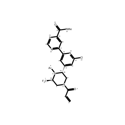 C=CC(=O)N1C[C@@H](C(F)(F)F)N(C(C)=O)[C@H](c2cc(Cl)nc(-c3cc(C(=O)NC)ncn3)c2)C1